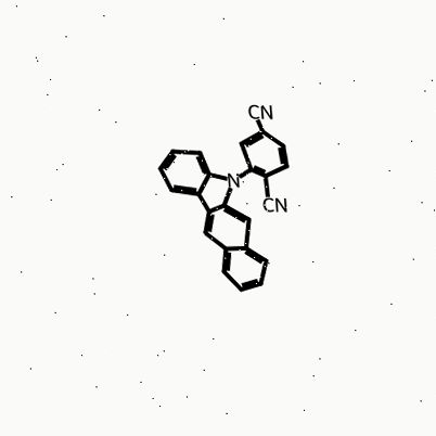 N#Cc1ccc(C#N)c(-n2c3ccccc3c3cc4ccccc4cc32)c1